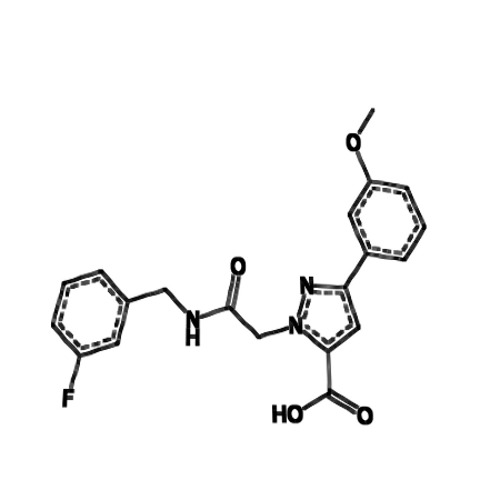 COc1cccc(-c2cc(C(=O)O)n(CC(=O)NCc3cccc(F)c3)n2)c1